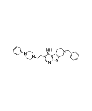 N=c1c2c3c(sc2ncn1CCN1CCN(c2ccccc2)CC1)CN(Cc1ccccc1)CC3